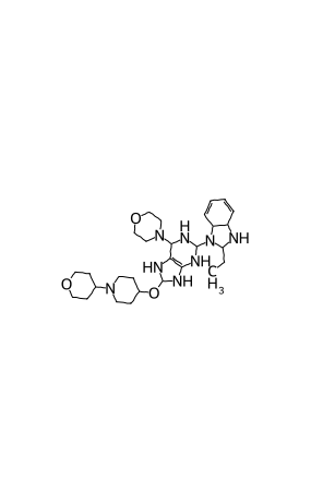 CCC1NC2C=CC=CC2N1C1NC2=C(NC(OC3CCN(C4CCOCC4)CC3)N2)C(N2CCOCC2)N1